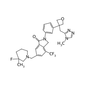 Cn1cnnc1CC1(c2cccc(N3Cc4c(cc(CN5CCCC(C)(F)C5)cc4C(F)(F)F)C3=O)c2)COC1